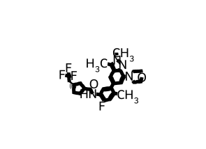 Cc1cc(F)c(NC(=O)C2CC[C@@H](CC(F)(F)F)C2)cc1-c1cc(N2CCOCC2)c2nn(C)c(C)c2c1